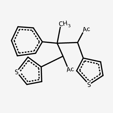 CC(=O)C(c1ccsc1)C(C)(c1ccccc1)C(C(C)=O)c1ccsc1